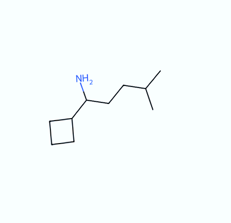 CC(C)CCC(N)C1CCC1